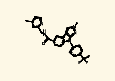 Cc1ccnc(CNC(=O)c2ccc3c(c2)c2cn(C)nc2n3-c2ccc(C(F)(F)F)cc2)c1